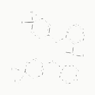 CC1(N)C=CC(Oc2ccccc2S(=O)(=O)c2ccccc2OC2=CCC(C)(N)C=C2)=CC1